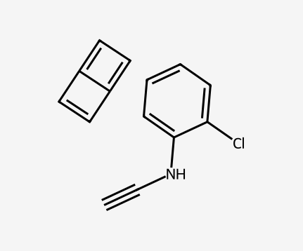 C#CNc1ccccc1Cl.c1cc2ccc1-2